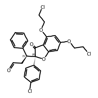 O=CC[C@@H](c1ccccc1)[C@]1(c2ccc(Cl)cc2)Oc2cc(OCCCl)cc(OCCCl)c2C1=O